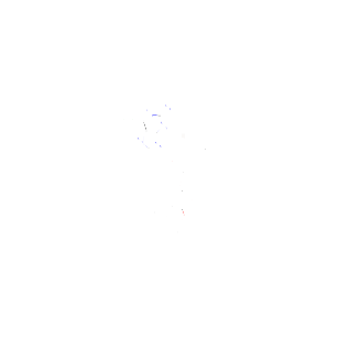 CC(=O)O[C@H]1[C@H](Br)[C@H](n2cnc3c(Cl)nc(N)nc32)O[C@@H]1COC1(C)OC(=O)C(C)(C)O1